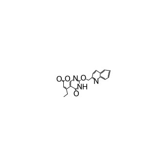 CCc1cc(=O)oc2nc(OCc3ccc4ccccc4n3)[nH]c(=O)c12